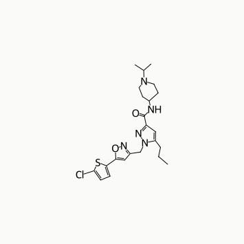 CCCc1cc(C(=O)NC2CCN(C(C)C)CC2)nn1Cc1cc(-c2ccc(Cl)s2)on1